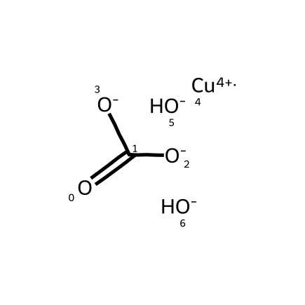 O=C([O-])[O-].[Cu+4].[OH-].[OH-]